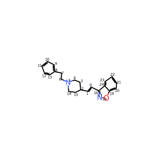 C(=CC1CCN(CCc2ccccc2)CC1)c1noc2ccccc12